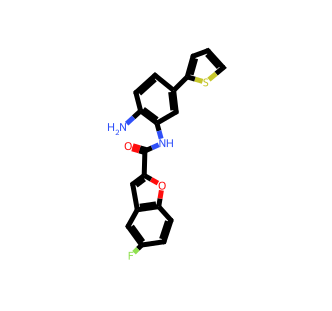 Nc1ccc(-c2cccs2)cc1NC(=O)c1cc2cc(F)ccc2o1